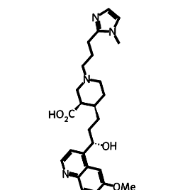 COc1ccc2nccc([C@@H](O)CC[C@@H]3CCN(CCCc4nccn4C)C[C@@H]3C(=O)O)c2c1